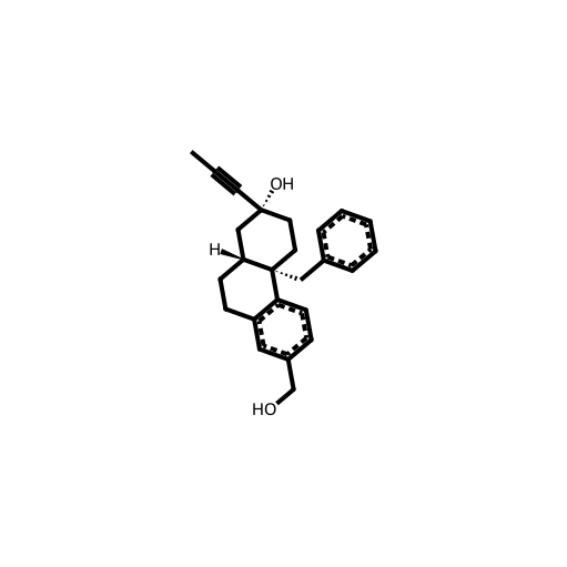 CC#C[C@@]1(O)CC[C@@]2(Cc3ccccc3)c3ccc(CO)cc3CC[C@@H]2C1